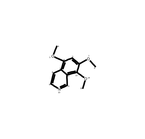 COc1cc(OC)c2ccncc2c1OC